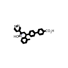 Cc1ccccc1C(C/C(=N/O)c1ccnnc1)c1ccc(-c2ccc(C(=O)O)cc2)cc1